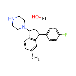 CCO.Cc1ccc2c(c1)C(c1ccc(F)cc1)CC2N1CCNCC1